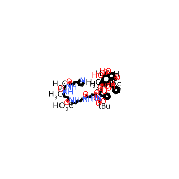 CC(=O)C[C@@]12CO[C@@H]1C[C@H](O)[C@@]1(C)C(=O)[C@H](O)C3=C(C)[C@@H](OC(=O)[C@H](OC(=O)CCC(=O)NCCCCC(NC(=O)CC[C@H](C)NC(=O)[C@H](C)NC(=O)/C=C/c4cccnc4)C(=O)O)[C@@H](NC(=O)OC(C)(C)C)c4ccccc4)C[C@@](O)([C@@H](OC(=O)c4ccccc4)[C@H]21)C3(C)C